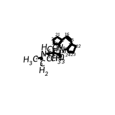 C=C(C)NC(C)(C)C(C)(C)C(=O)N1C2=C(C#CC3=C1CCC3)CC=C2